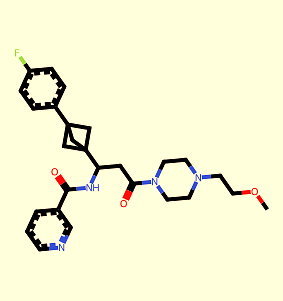 COCCN1CCN(C(=O)CC(NC(=O)c2cccnc2)C23CC(c4ccc(F)cc4)(C2)C3)CC1